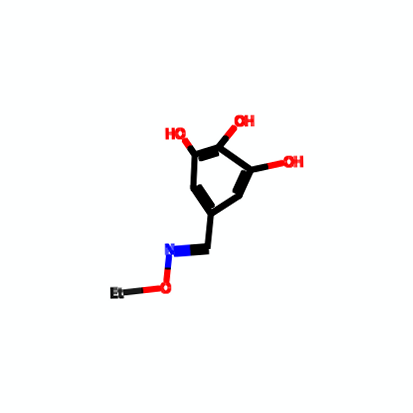 CCO/N=C/c1cc(O)c(O)c(O)c1